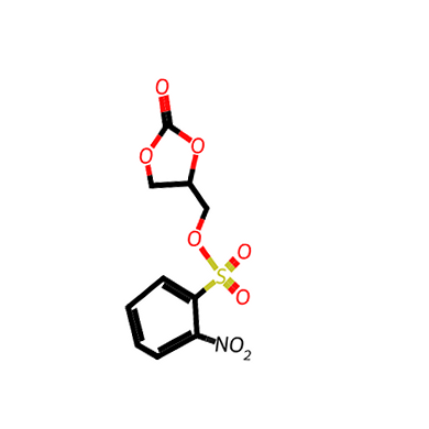 O=C1OCC(COS(=O)(=O)c2ccccc2[N+](=O)[O-])O1